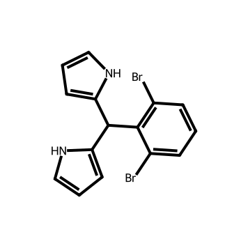 Brc1cccc(Br)c1C(c1ccc[nH]1)c1ccc[nH]1